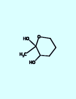 CC1(O)OCCCC1O